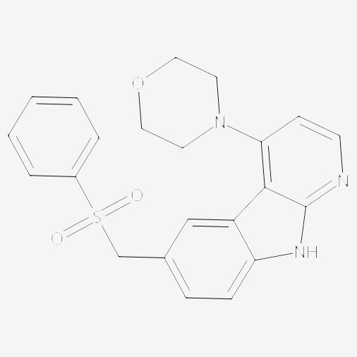 O=S(=O)(Cc1ccc2[nH]c3nccc(N4CCOCC4)c3c2c1)c1ccccc1